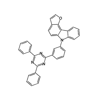 c1ccc(-c2nc(-c3ccccc3)nc(-c3cccc(-n4c5ccccc5c5c6occc6ccc54)c3)n2)cc1